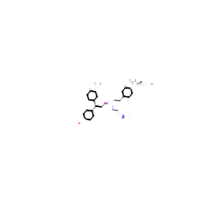 CCOc1ccc(C(=CC(=O)N(CCc2ccc(OC)c(OC)c2)CCN(C)C)c2ccc(OC)cc2)cc1